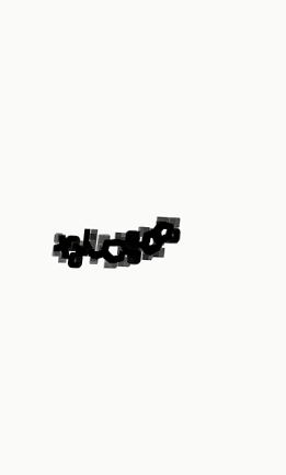 CC(C)(C)OC(=O)NCC1CCN(S(=O)(=O)c2ccc3c(c2)CCO3)CC1